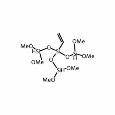 C=C[Si](O[SiH](OC)OC)(O[SiH](OC)OC)O[SiH](OC)OC